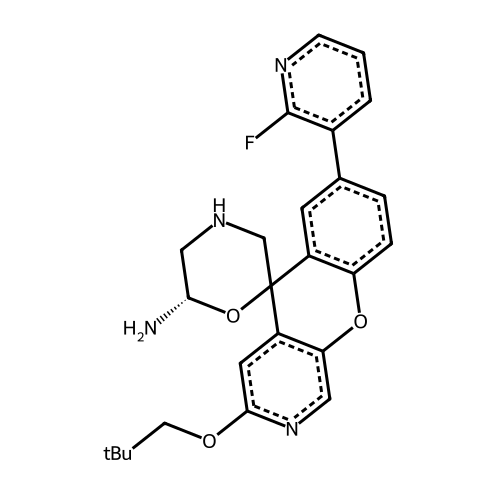 CC(C)(C)COc1cc2c(cn1)Oc1ccc(-c3cccnc3F)cc1C21CNC[C@@H](N)O1